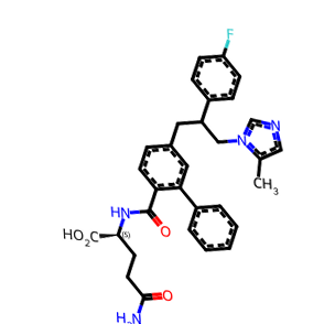 Cc1cncn1CC(Cc1ccc(C(=O)N[C@@H](CCC(N)=O)C(=O)O)c(-c2ccccc2)c1)c1ccc(F)cc1